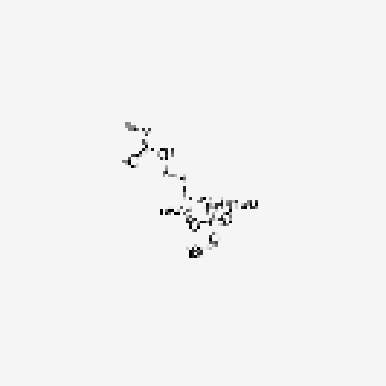 C=CC(=O)OCCC[SiH2]C(OCCCC)(OCCCC)OCCCC